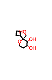 OC[C@]1(C2CCC2)OCC[C@@H](O)[C@H]1O